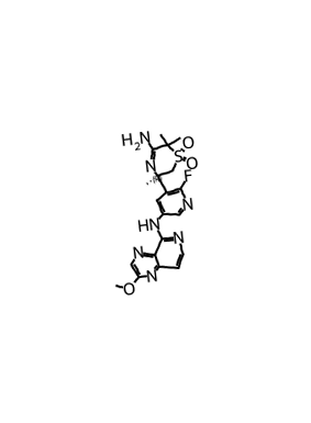 COc1cnc2c(Nc3cnc(F)c([C@]4(C)CS(=O)(=O)C(C)(C)C(N)=N4)c3)nccc2n1